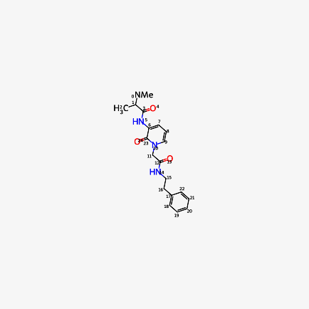 CNC(C)C(=O)Nc1cccn(CC(=O)NCCc2ccccc2)c1=O